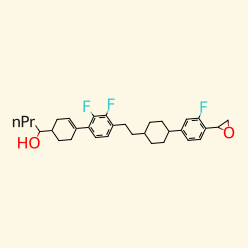 CCCC(O)C1CC=C(c2ccc(CCC3CCC(c4ccc(C5CO5)c(F)c4)CC3)c(F)c2F)CC1